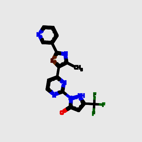 Cc1nc(-c2cccnc2)sc1-c1ccnc(-n2[nH]c(C(F)(F)F)cc2=O)n1